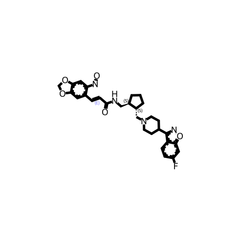 O=Nc1cc2c(cc1/C=C/C(=O)NC[C@H]1CCC[C@@H]1CN1CCC(c3noc4cc(F)ccc34)CC1)OCO2